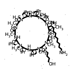 CC[C@H]1NC(=O)[C@H]([C@H](O)[C@H](C)CCCCCCCCN)N(C)C(=O)[C@@H](C(C)C)N(C)C(=O)[C@@H](CC(C)C)N(C)C(=O)[C@@H](CC(C)C)N(C)C(=O)[C@H](C)NC(=O)[C@@H](C)NC(=O)[C@@H](CC(C)C)N(C)C(=O)[C@@H](C(C)C)NC(=O)[C@H](CC(C)C)N(C)C(=O)[C@@H](CSCCCCO)N(C)C1=O